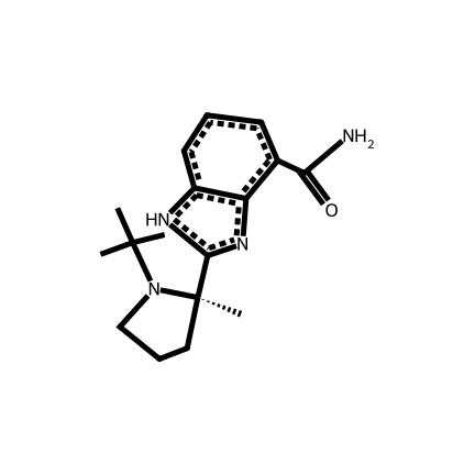 CC(C)(C)N1CCC[C@]1(C)c1nc2c(C(N)=O)cccc2[nH]1